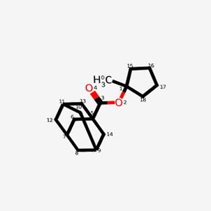 CC1(OC(=O)C23CC4CC(CC(C4)C2)C3)CCCC1